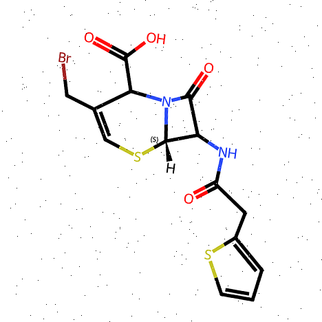 O=C(Cc1cccs1)NC1C(=O)N2C(C(=O)O)C(CBr)=CS[C@@H]12